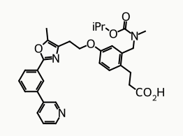 Cc1oc(-c2cccc(-c3cccnc3)c2)nc1CCOc1ccc(CCC(=O)O)c(CN(C)C(=O)OC(C)C)c1